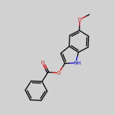 COc1ccc2[nH]c(OC(=O)c3ccccc3)cc2c1